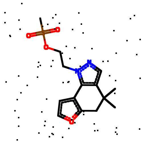 CC1(C)Cc2occc2-c2c1cnn2CCOS(C)(=O)=O